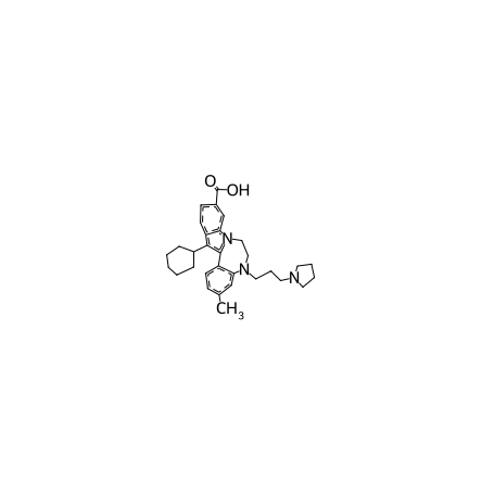 Cc1ccc2c(c1)N(CCCN1CCCC1)CCn1c-2c(C2CCCCC2)c2ccc(C(=O)O)cc21